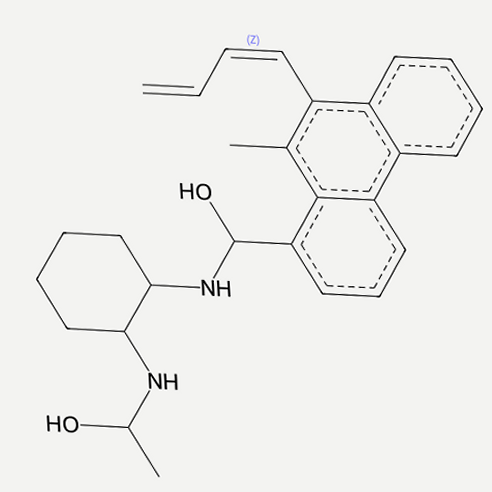 C=C/C=C\c1c(C)c2c(C(O)NC3CCCCC3NC(C)O)cccc2c2ccccc12